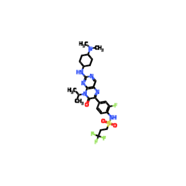 CC(C)n1c(=O)c(-c2ccc(NS(=O)(=O)CCC(F)(F)F)c(F)c2)nc2cnc(NC3CCC(N(C)C)CC3)nc21